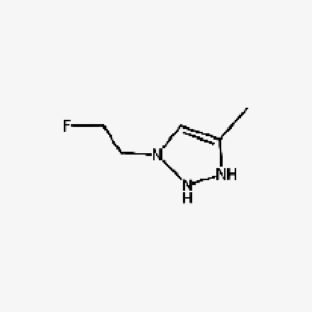 CC1=CN(CCF)NN1